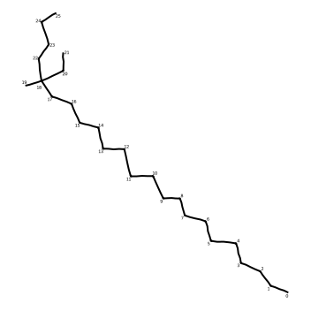 CCCCCCCCCCCCCCCCCCC(C)(CC)CCCC